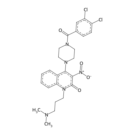 CN(C)CCCn1c(=O)c([N+](=O)[O-])c(N2CCN(C(=O)c3ccc(Cl)c(Cl)c3)CC2)c2ccccc21